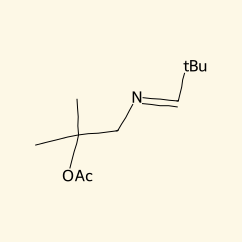 CC(=O)OC(C)(C)C/N=C/C(C)(C)C